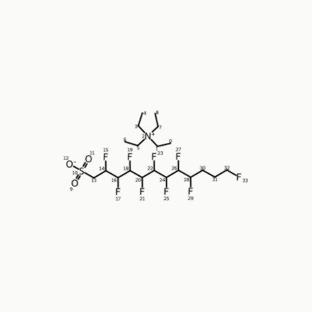 CC[N+](CC)(CC)CC.O=S(=O)([O-])CC(F)C(F)C(F)C(F)C(F)C(F)C(F)C(F)CCCF